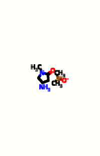 CN1CCCC1=O.C[S+](C)[O-].N